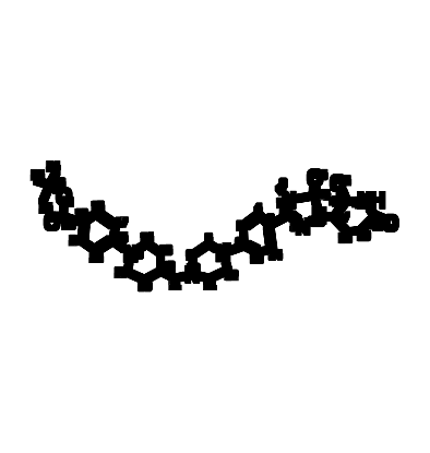 Cn1c(-c2ccc(N3CCN(CC4CCN(c5ccc(C(=O)OC(C)(C)C)cc5)CC4)CC3)cc2)nn(C2CCC(=O)NC2=O)c1=O